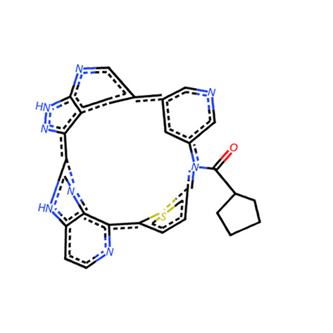 O=C(C1CCCC1)n1c2cncc(c2)c2cnc3[nH]nc(c4nc5c(ccnc5c5ccc1s5)[nH]4)c3c2